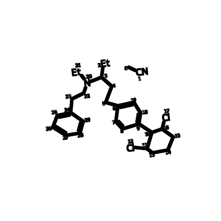 CC#N.CCC(CCc1ccc(C2C(Cl)CCCC2Cl)cc1)N(CC)CCc1ccccc1